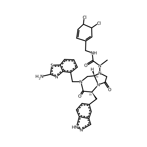 CN(C(=O)NCC1=CC(Cl)C(Cl)C=C1)N1CC(=O)N2[C@@H](Cc3ccc4[nH]ncc4c3)C(=O)N(Cc3cccc4sc(N)nc34)C[C@@H]21